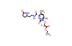 CCOC(=O)[C@H](F)ON1C(=O)N2C[C@H]1C=C(C)[C@H]2C(=O)NCCC1CCC(=O)N1